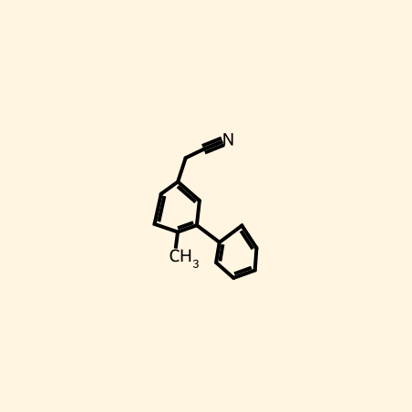 Cc1ccc(CC#N)cc1-c1ccccc1